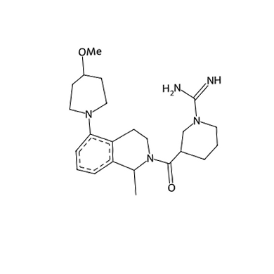 COC1CCN(c2cccc3c2CCN(C(=O)C2CCCN(C(=N)N)C2)C3C)CC1